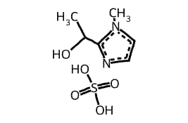 CC(O)c1nccn1C.O=S(=O)(O)O